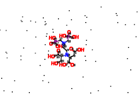 O=C(O)CC(C(=O)O)N(CCN(CP(=O)(O)O)CP(=O)(O)O)C(CO)C(=O)O